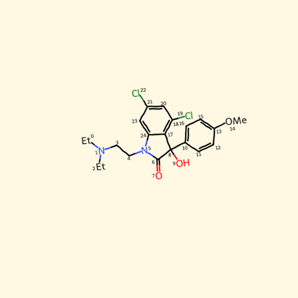 CCN(CC)CCN1C(=O)C(O)(c2ccc(OC)cc2)c2c(Cl)cc(Cl)cc21